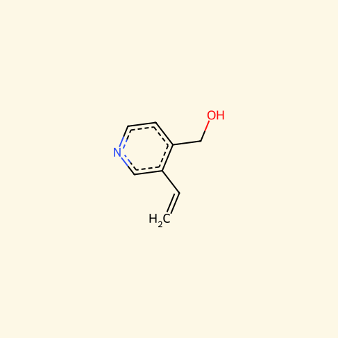 C=Cc1cnccc1CO